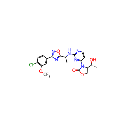 C[C@H](Nc1nccc(N2C(=O)OCC2[C@@H](C)O)n1)c1nc(-c2ccc(Cl)c(OC(F)(F)F)c2)no1